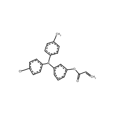 C=CC(=O)Oc1cccc(N(c2ccc(C)cc2)c2ccc(Cl)cc2)c1